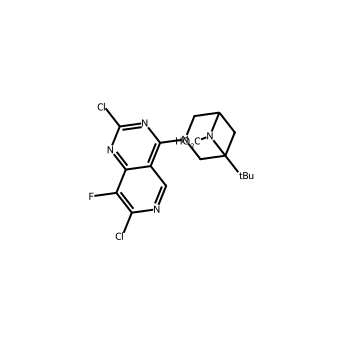 CC(C)(C)C12CC(CN(c3nc(Cl)nc4c(F)c(Cl)ncc34)C1)N2C(=O)O